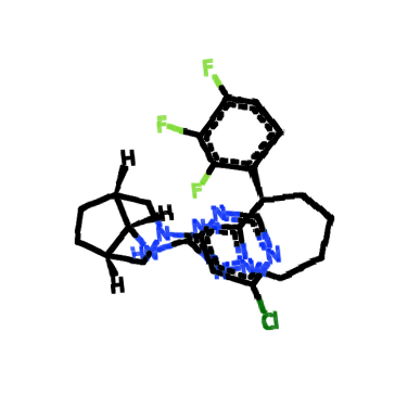 Fc1ccc([C@H]2CCCCn3nc(N[C@H]4[C@@H]5CC[C@H]4CN(c4cc(Cl)ncn4)C5)nc32)c(F)c1F